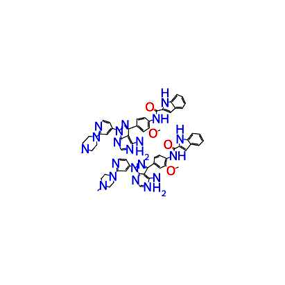 COc1cc(-c2nn(-c3ccnc(N4CCN(C)CC4)c3)c3ncnc(N)c23)ccc1NC(=O)c1cc2ccccc2[nH]1.COc1cc(-c2nn(-c3ccnc(N4CCN(C)CC4)c3)c3ncnc(N)c23)ccc1NC(=O)c1cc2ccccc2[nH]1